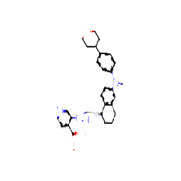 COC(=O)c1ccncc1NC[C@@H]1CCCc2cc(N(C)c3ccc(C4CCOCC4)cc3)ccc21